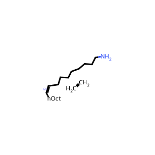 C=C.CCCCCCCC/C=C\CCCCCCCCN